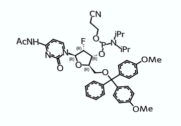 COc1ccc(C(OC[C@H]2O[C@@H](n3ccc(NC(C)=O)nc3=O)[C@H](F)[C@@H]2OP(OCCC#N)N(C(C)C)C(C)C)(c2ccccc2)c2ccc(OC)cc2)cc1